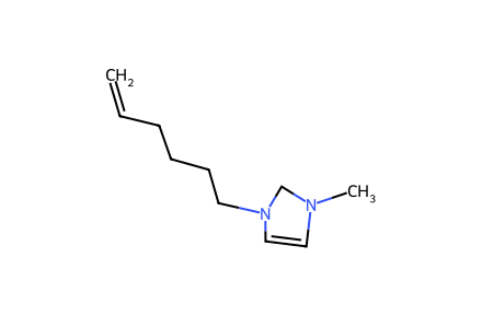 C=CCCCCN1C=CN(C)C1